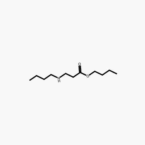 CCCCNCCC(=O)OCCCC